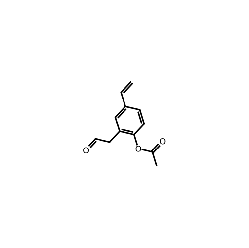 C=Cc1ccc(OC(C)=O)c(CC=O)c1